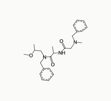 COC(C)CN(Cc1ccccc1)C(=O)C(C)NC(=O)CN(C)Cc1ccccc1